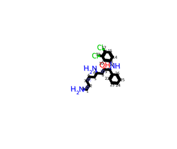 N/C=C\C=C/CC(N)/C=C(\O)C(Nc1ccc(Cl)c(Cl)c1)c1ccccc1